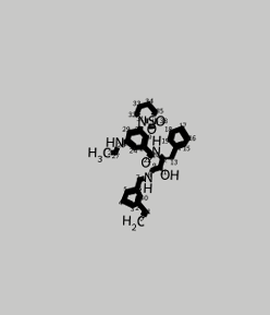 C=Cc1cccc(CNC[C@@H](O)[C@H](Cc2ccccc2)NC(=O)c2cc(NCC)cc(N3CCCCS3(=O)=O)c2)c1